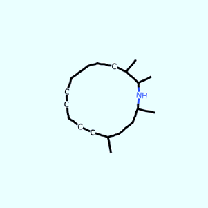 CC1CCCCCCCCCC(C)C(C)NC(C)CC1